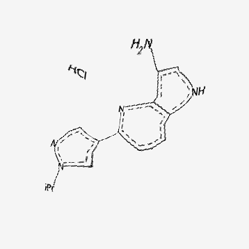 CC(C)n1cc(-c2ccc3[nH]cc(N)c3n2)cn1.Cl